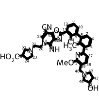 COc1nc(-c2cccc(-c3cccc(-c4nc5c(=N)n(CCN6CC[C@@H](C(=O)O)C6)cc(C#N)c5o4)c3Cl)c2C)ccc1CN1CC[C@@H](O)C1